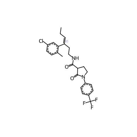 CC/C=C(/CCNC(=O)C1CCN(c2ccc(C(F)(F)F)cc2)C1=O)c1cc(Cl)ccc1C